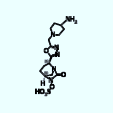 NC1CCN(Cc2nnc([C@@H]3CC[C@H]4CN3C(=O)N4OS(=O)(=O)O)o2)CC1